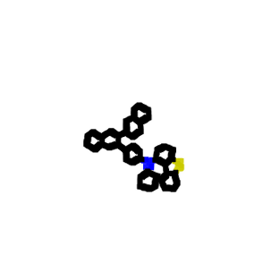 c1ccc(N(c2ccc(-c3cc4ccccc4cc3-c3ccc4ccccc4c3)cc2)c2cccc3sc4ccccc4c23)cc1